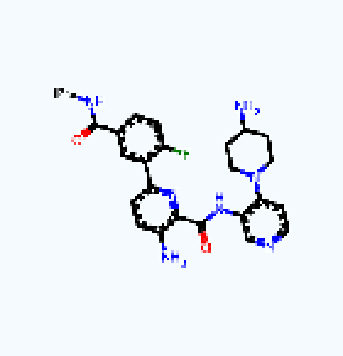 CC(C)NC(=O)c1ccc(F)c(-c2ccc(N)c(C(=O)Nc3cnccc3N3CCC(N)CC3)n2)c1